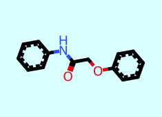 O=C(COc1ccccc1)Nc1ccccc1